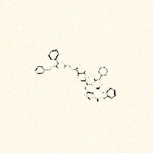 CCCC(NC(=O)[C@H](Cc1cn(C(=O)OCc2ccccc2)cn1)NC(=O)[C@@H](NC(=O)OC(C)(C)C)C1CCCCC1)C(=O)C(=O)NCC(=O)N[C@H](C(=O)OCc1ccccc1)c1ccccc1